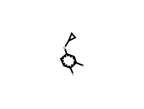 Fc1c[c]c(OC2CC2)cc1F